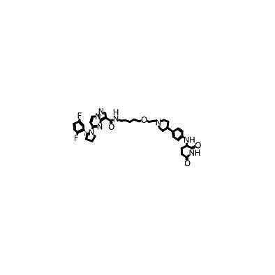 O=C1CCC(Nc2ccc(C3CCN(CCOCCCCCNC(=O)c4cnn5ccc(N6CCC[C@@H]6c6cc(F)ccc6F)nc45)CC3)cc2)C(=O)N1